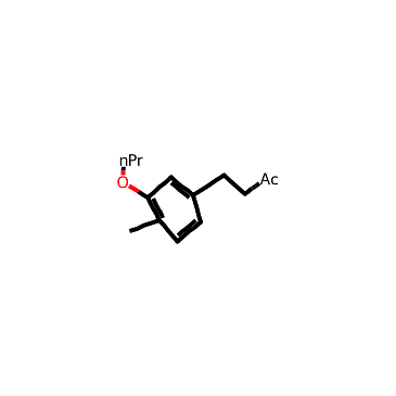 CCCOc1cc(CCC(C)=O)ccc1C